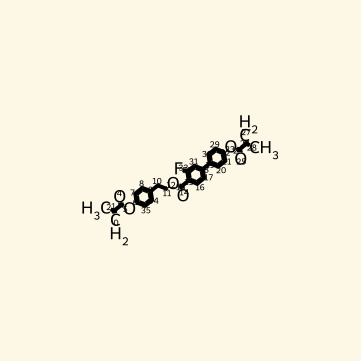 C=C(C)C(=O)Oc1ccc(CCOC(=O)c2ccc(-c3ccc(OC(=O)C(=C)C)cc3)cc2F)cc1